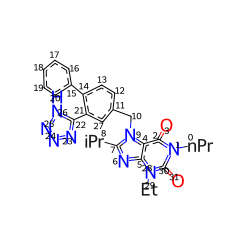 CCCn1c(=O)c2c(nc(C(C)C)n2Cc2ccc(-c3ccccc3)c(-c3nnn[nH]3)c2)n(CC)c1=O